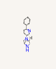 c1ccc(-c2ccc(N3CC4C[C@H]3CN4)cn2)cc1